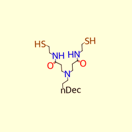 CCCCCCCCCCCCN(CCC(=O)NCCS)CCC(=O)NCCS